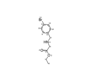 CCOC(=O)CNCc1ccc(Br)cc1